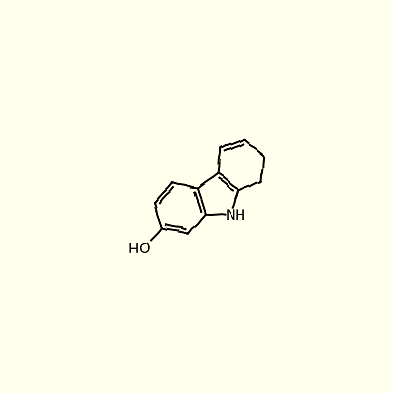 Oc1ccc2c3c([nH]c2c1)CCC=C3